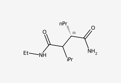 CCC[C@H](C(N)=O)C(C(=O)NCC)C(C)C